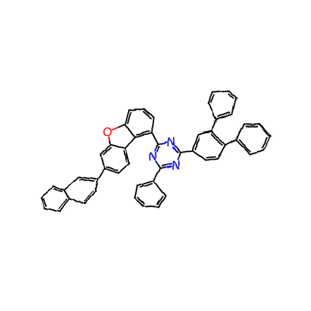 c1ccc(-c2nc(-c3ccc(-c4ccccc4)c(-c4ccccc4)c3)nc(-c3cccc4oc5cc(-c6ccc7ccccc7c6)ccc5c34)n2)cc1